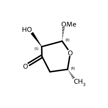 CO[C@@H]1O[C@H](C)CC(=O)[C@H]1O